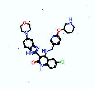 O=c1[nH]c2ccc(Cl)cc2c(NCc2ccc(OC3CCCNC3)nc2)c1-c1nc2cc(N3CCOCC3)ccc2[nH]1